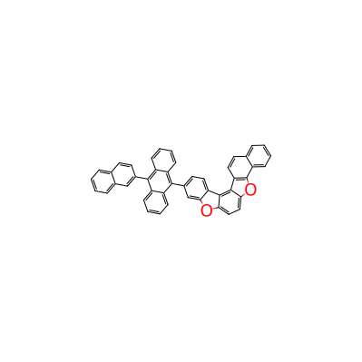 c1ccc2cc(-c3c4ccccc4c(-c4ccc5c(c4)oc4ccc6oc7c8ccccc8ccc7c6c45)c4ccccc34)ccc2c1